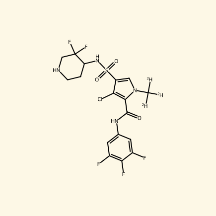 [2H]C([2H])([2H])n1cc(S(=O)(=O)NC2CCNCC2(F)F)c(Cl)c1C(=O)Nc1cc(F)c(F)c(F)c1